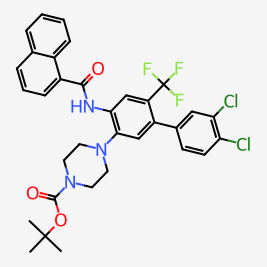 CC(C)(C)OC(=O)N1CCN(c2cc(-c3ccc(Cl)c(Cl)c3)c(C(F)(F)F)cc2NC(=O)c2cccc3ccccc23)CC1